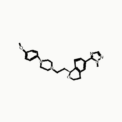 COc1ccc(N2CCN(CC[C@@H]3OCCc4cc(-c5ncnn5C)ccc43)CC2)cc1